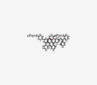 CCCCCc1ccc(-c2cc(-c3ccc(CCCCC)cc3)cc(-c3ccccc3-c3c4ccccc4c(-c4ccc(C=C(c5ccccc5)c5ccccc5)cc4)c4ccccc34)c2)cc1